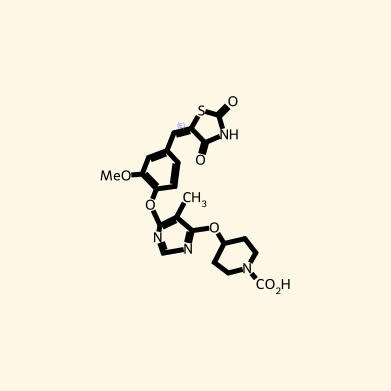 COc1cc(/C=C2/SC(=O)NC2=O)ccc1Oc1ncnc(OC2CCN(C(=O)O)CC2)c1C